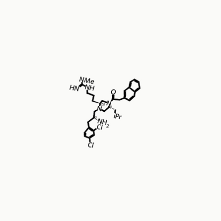 CNC(=N)NCCC[C@H]1CN(C(=O)Cc2ccc3ccccc3c2)[C@H](CC(C)C)CN1C[C@H](N)Cc1ccc(Cl)cc1Cl